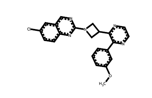 COc1cccc(-c2nccnc2C2CN(c3ncc4cc(Cl)ccc4n3)C2)c1